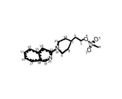 CS(=O)(=O)OCCC1CCN(c2cc3ccccc3cn2)CC1